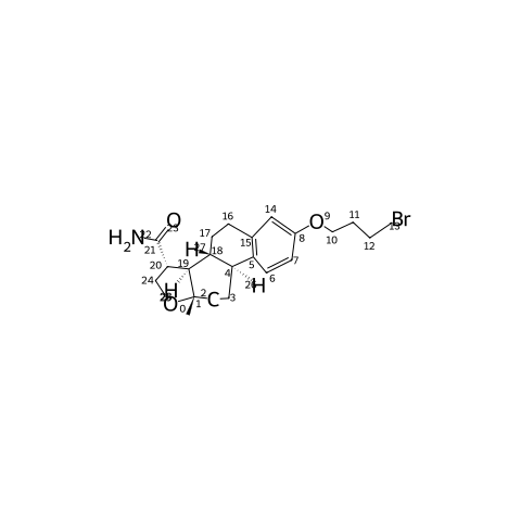 C[C@]12CC[C@@H]3c4ccc(OCCCBr)cc4CC[C@H]3[C@@H]1[C@@H](C(N)=O)CO2